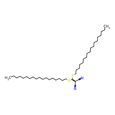 CCCCCCCCCCCCCCCCCCSC(SCCCCCCCCCCCCCCCCCC)=C(C#N)C#N